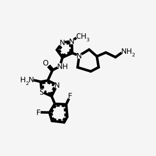 Cn1ncc(NC(=O)c2nc(-c3c(F)cccc3F)sc2N)c1N1CCCC(CCN)C1